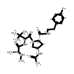 CN[C@@H](C)C(=O)N[C@H](C(=O)N1C[C@@H](NC(C)=O)C[C@H]1C(=O)NCCc1ccc(F)cc1)C(C)(C)C